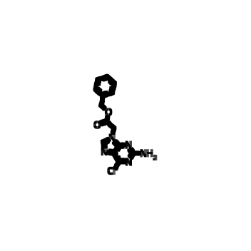 Nc1nc(Cl)c2ncn(CC(=O)OCc3ccccc3)c2n1